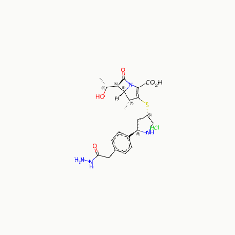 C[C@@H](O)[C@H]1C(=O)N2C(C(=O)O)=C(S[C@@H]3CN[C@@H](c4ccc(CC(=O)NN)cc4)C3)[C@H](C)[C@H]12.Cl